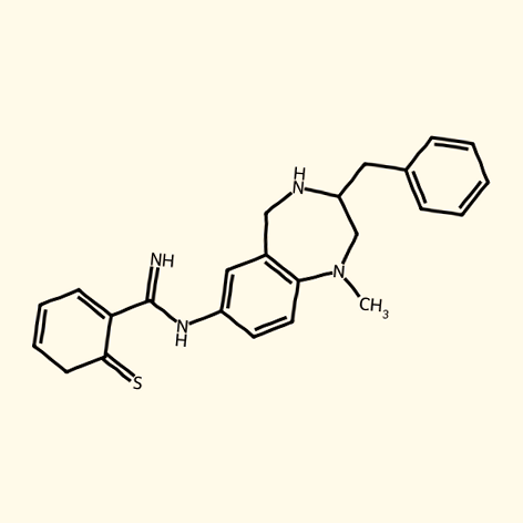 CN1CC(Cc2ccccc2)NCc2cc(NC(=N)C3=CC=CCC3=S)ccc21